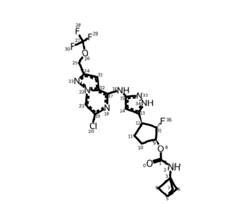 O=C(NC12CC(C1)C2)O[C@H]1CC[C@@H](c2cc(Nc3nc(Cl)cn4nc(COC(F)(F)F)cc34)n[nH]2)[C@@H]1F